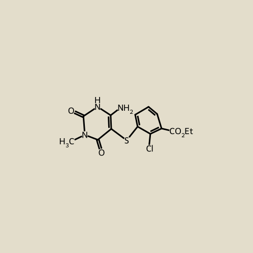 CCOC(=O)c1cccc(Sc2c(N)[nH]c(=O)n(C)c2=O)c1Cl